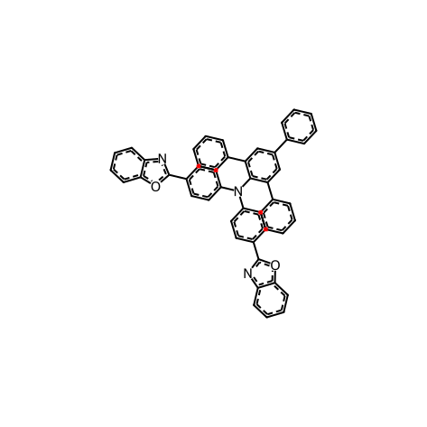 c1ccc(-c2cc(-c3ccccc3)c(N(c3ccc(-c4nc5ccccc5o4)cc3)c3ccc(-c4nc5ccccc5o4)cc3)c(-c3ccccc3)c2)cc1